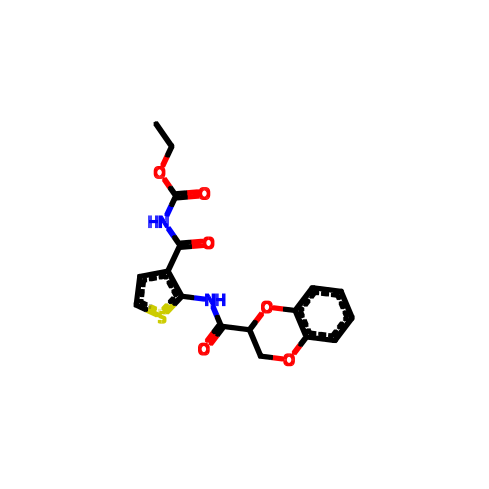 CCOC(=O)NC(=O)c1ccsc1NC(=O)C1COc2ccccc2O1